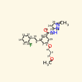 COCCCOc1cc(/C=C/c2ccccc2F)cc(C(=O)Nc2ccn(C)n2)c1